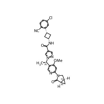 COc1cc(N2C[C@H]3C[C@H]3C2=O)ncc1[C@@H](C)n1cc(C(=O)N[C@H]2C[C@@H](c3cc(Cl)ccc3C#N)C2)cn1